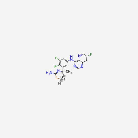 C[C@@]1(c2cc(Nc3ncnc4cc(F)cnc34)cc(F)c2F)N=C(N)S[C@H]2C[C@H]21